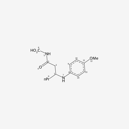 CCCC(CC(=O)NC(=O)O)Nc1ccc(OC)cc1